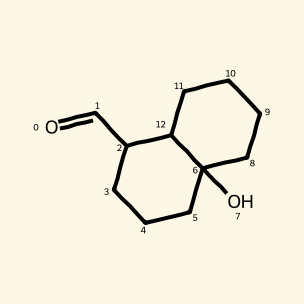 O=CC1CCCC2(O)CCCCC12